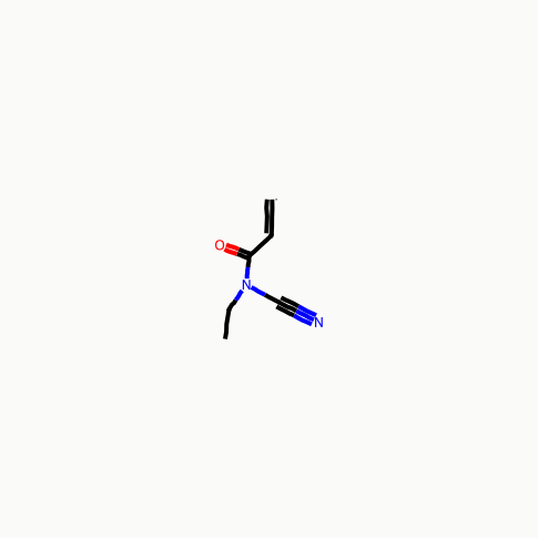 [CH]=CC(=O)N(C#N)CC